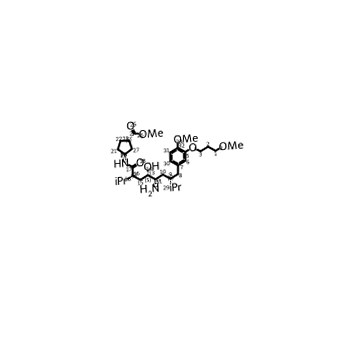 COCCCOc1cc(C[C@@H](C[C@H](N)[C@@H](O)C[C@H](C(=O)N[C@@H]2CC[C@H](C(=O)OC)C2)C(C)C)C(C)C)ccc1OC